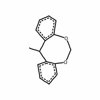 CC1c2ccccc2OCOc2ccccc21